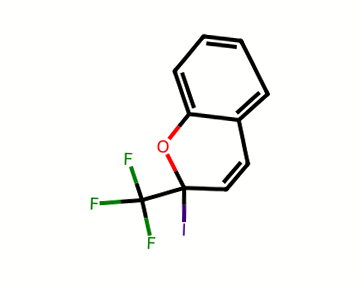 FC(F)(F)C1(I)C=Cc2ccccc2O1